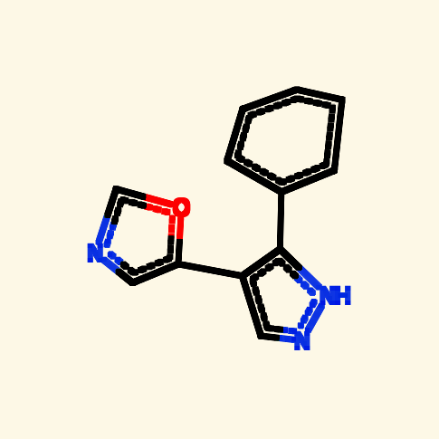 c1ccc(-c2[nH]ncc2-c2cnco2)cc1